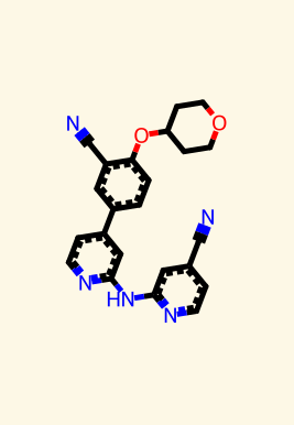 N#Cc1ccnc(Nc2cc(-c3ccc(OC4CCOCC4)c(C#N)c3)ccn2)c1